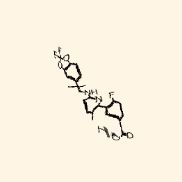 Cc1ccc(NCC(C)(C)c2ccc3c(c2)OC(F)(F)O3)nc1-c1cc(C(=O)O)ccc1F